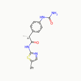 CC(C)c1cnc(NC(=O)[C@H](C)c2ccc(NC(N)=O)cc2)s1